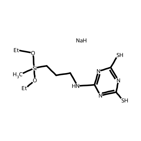 CCO[Si](C)(CCCNc1nc(S)nc(S)n1)OCC.[NaH]